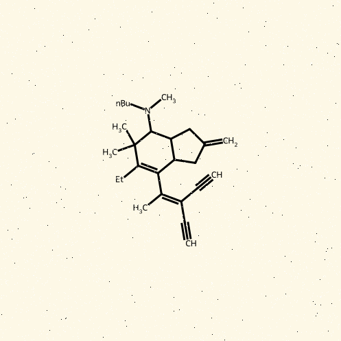 C#CC(C#C)=C(C)C1=C(CC)C(C)(C)C(N(C)CCCC)C2CC(=C)CC12